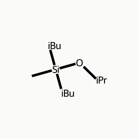 CCC(C)[Si](C)(OC(C)C)C(C)CC